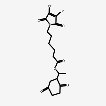 CC(OC(=O)CCCCCN1C(=O)C(Br)=C(Br)C1=O)C1CC(=O)CCC1=O